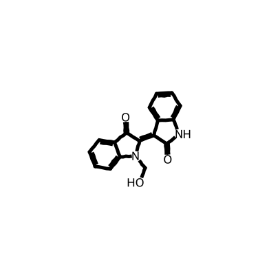 O=C1Nc2ccccc2C1=C1C(=O)c2ccccc2N1CO